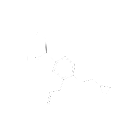 C=CCc1cc(C(N)=CC(C)=O)ccc1OCC1CO1